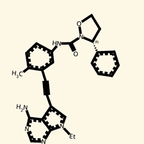 CCn1cc(C#Cc2cc(NC(=O)N3OCC[C@@H]3c3ccccc3)ccc2C)c2c(N)ncnc21